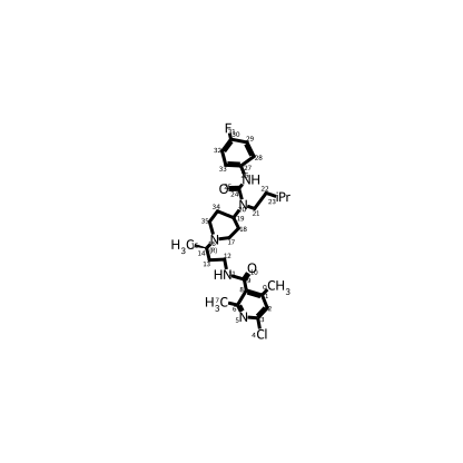 Cc1cc(Cl)nc(C)c1C(=O)NCC[C@@H](C)N1CCC(N(CCC(C)C)C(=O)Nc2ccc(F)cc2)CC1